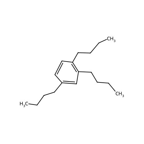 CCCCc1ccc(CCCC)c(CCCC)c1